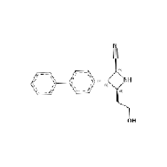 N#C[C@H]1N[C@@H](CCO)[C@@H]1c1ccc(-c2ccccc2)cc1